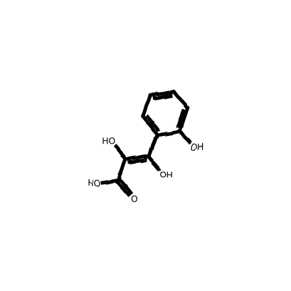 O=C(O)C(O)=C(O)c1ccccc1O